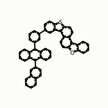 c1cc(-c2ccc3sc4ccc5c(ccc6oc7ccccc7c65)c4c3c2)cc(-c2c3ccccc3c(-c3ccc4ccccc4c3)c3ccccc23)c1